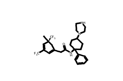 C[C@@]1(C(F)(F)F)C=C(C(F)(F)F)C=C(CC(=O)NC2(c3ccccc3)CCC(N3CCNCC3)CC2)C1